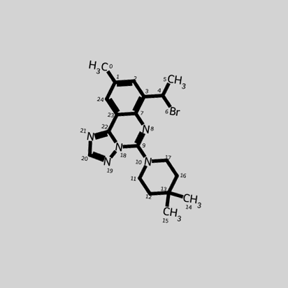 Cc1cc(C(C)Br)c2nc(N3CCC(C)(C)CC3)n3ncnc3c2c1